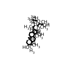 [2H]C([2H])([2H])C([2H])([2H])O[C@@H]([C@H]1C[C@@H](C)[C@H]2[C@H](O1)[C@H](O)[C@@]1(C)[C@@H]3CC[C@H]4C(C)(C)[C@@H](O)CC[C@@]45C[C@@]35CC[C@]21C)C(C)(C)O